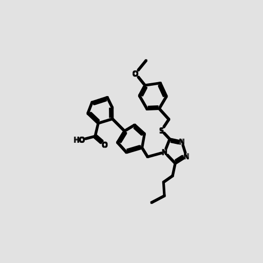 CCCCc1nnc(SCc2ccc(OC)cc2)n1Cc1ccc(-c2ccccc2C(=O)O)cc1